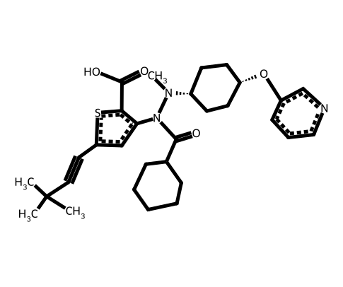 CN([C@H]1CC[C@@H](Oc2cccnc2)CC1)N(C(=O)C1CCCCC1)c1cc(C#CC(C)(C)C)sc1C(=O)O